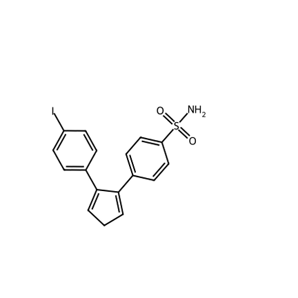 NS(=O)(=O)c1ccc(C2=CCC=C2c2ccc(I)cc2)cc1